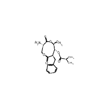 CC(C)C(=O)O[C@H]1[C@H](C)OC(=O)[C@@H](N)COC(=O)[C@@H]1Cc1ccccc1